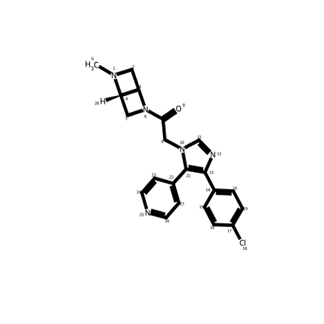 CN1CC2[C@@H]1CN2C(=O)Cn1cnc(-c2ccc(Cl)cc2)c1-c1ccncc1